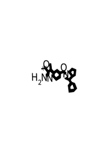 C[C@H]1OCc2c1c(N)nc1ccc(C(=O)N3CC(c4ccccc4)C4CCCC43)cc21